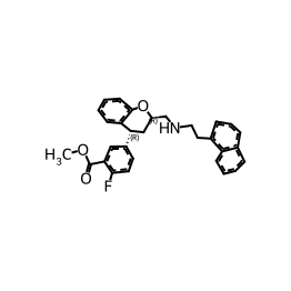 COC(=O)c1cc([C@H]2C[C@H](CNCCc3cccc4ccccc34)Oc3ccccc32)ccc1F